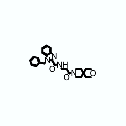 O=C(NCCC(=O)N1CCC2(CCOCC2)CC1)c1nc2ccccc2n1Cc1ccccc1